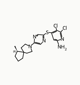 C[C@@H]1CCCC12CCN(c1cnc(Sc3cc(N)nc(Cl)c3Cl)cn1)CC2